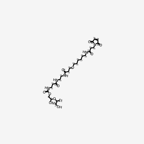 CCC(CO)OC(COC(=O)NCCC(=O)NCCNC(=O)CCOCCCCCCNC(=O)CCN1C(=O)C=CC1=O)OC